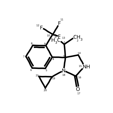 CC(C)C1(c2ccccc2C(F)(F)F)CNC(=O)N1C1CC1